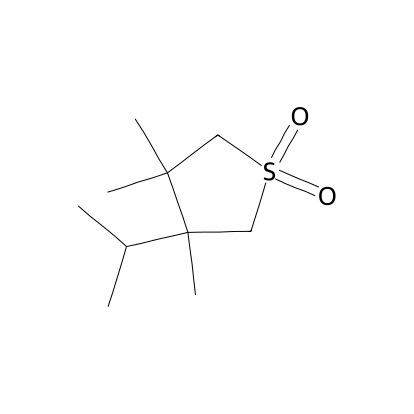 CC(C)C1(C)CS(=O)(=O)CC1(C)C